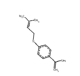 C=C(O)c1ccc(OCC=C(C)C)cc1